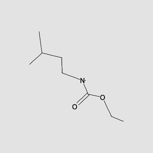 CCOC(=O)[N]CCC(C)C